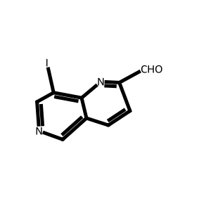 O=Cc1ccc2cncc(I)c2n1